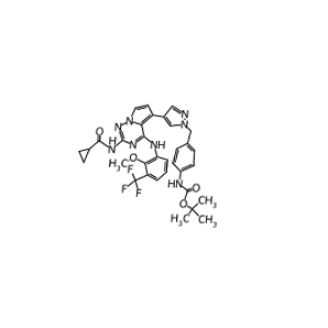 COc1c(Nc2nc(NC(=O)C3CC3)nn3ccc(-c4cnn(Cc5ccc(NC(=O)OC(C)(C)C)cc5)c4)c23)cccc1C(F)(F)F